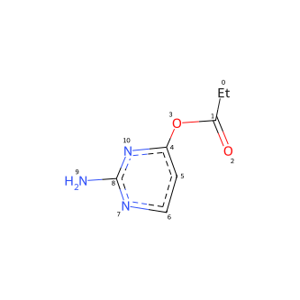 CCC(=O)Oc1ccnc(N)n1